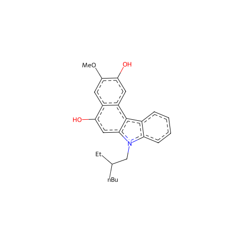 CCCCC(CC)Cn1c2ccccc2c2c3cc(O)c(OC)cc3c(O)cc21